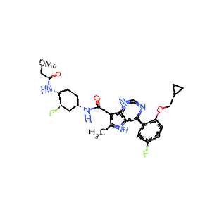 COCC(=O)N[C@@H]1CC[C@H](NC(=O)c2c(C)[nH]c3c(-c4cc(F)ccc4OCC4CC4)ncnc23)C[C@H]1F